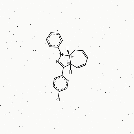 Clc1ccc(C2=NN(c3ccccc3)[C@@H]3CC=CC=C[C@H]23)cc1